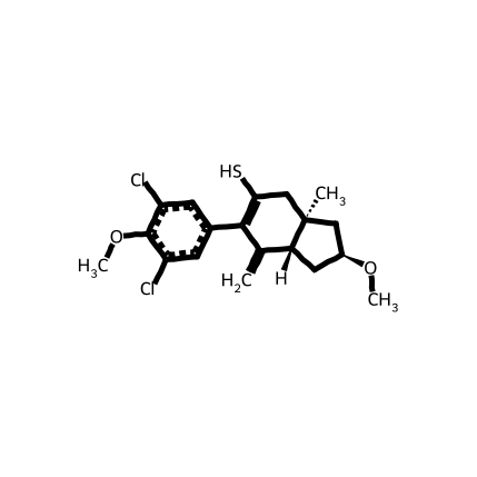 C=C1C(c2cc(Cl)c(OC)c(Cl)c2)=C(S)C[C@@]2(C)C[C@@H](OC)C[C@H]12